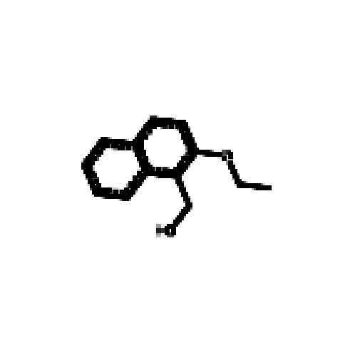 CCOc1ccc2ccccc2c1CO